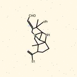 C=C(CC)C1CCC23NC4(CCC12C)C3CC/C(=C/C=O)C4(C)CCC